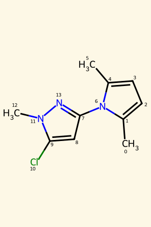 Cc1ccc(C)n1-c1cc(Cl)n(C)n1